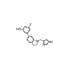 Oc1cc(F)cc(-c2ccc3c(c2)N(Cc2c[nH]cn2)CC3)c1